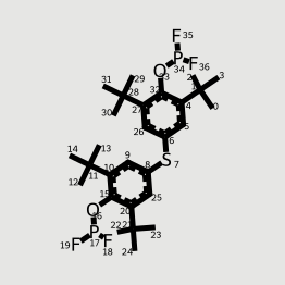 CC(C)(C)c1cc(Sc2cc(C(C)(C)C)c(OP(F)F)c(C(C)(C)C)c2)cc(C(C)(C)C)c1OP(F)F